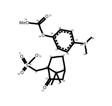 CC1(C)C2CCC1(CS(=O)(=O)[O-])C(=O)C2.COC(=O)Oc1ccc([S+](C)C)cc1